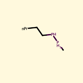 CCCCCP[PH3]C